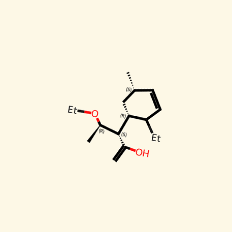 C=C(O)[C@@H]([C@@H]1C[C@H](C)C=CC1CC)[C@@H](C)OCC